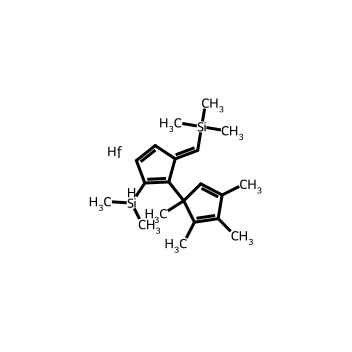 CC1=CC(C)(C2=C([SiH](C)C)C=CC2=C[Si](C)(C)C)C(C)=C1C.[Hf]